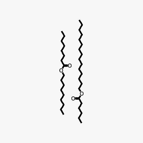 CCCCCCCCCCCCCCCOC(=O)CCCCC.CCCCCCCCCOC(=O)CCCCCCC